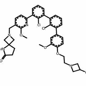 COc1cc(-c2cccc(-c3cccc(-c4ccc(CN5CC6(CCC(=O)N6)C5)c(OC)n4)c3Cl)c2Cl)ccc1OCCN1CC(O)C1